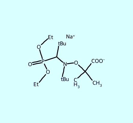 CCOP(=O)(OCC)C(N(OC(C)(C)C(=O)[O-])C(C)(C)C)C(C)(C)C.[Na+]